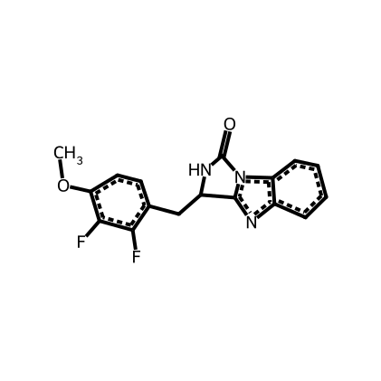 COc1ccc(CC2NC(=O)n3c2nc2ccccc23)c(F)c1F